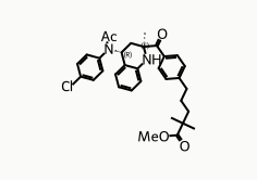 COC(=O)C(C)(C)CCCc1ccc(C(=O)[C@]2(C)C[C@@H](N(C(C)=O)c3ccc(Cl)cc3)c3ccccc3N2)cc1